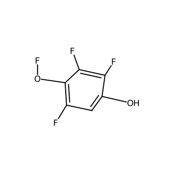 Oc1cc(F)c(OF)c(F)c1F